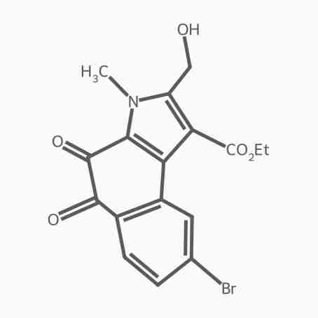 CCOC(=O)c1c2c(n(C)c1CO)C(=O)C(=O)c1ccc(Br)cc1-2